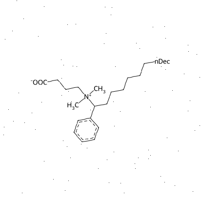 CCCCCCCCCCCCCCCCC(c1ccccc1)[N+](C)(C)CCCC(=O)[O-]